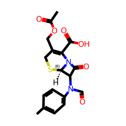 CC(=O)OCC1=C(C(=O)O)N2C(=O)C(N(C=O)c3ccc(C)cc3)[C@H]2SC1